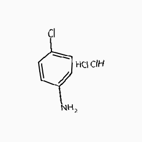 Cl.Cl.Nc1ccc(Cl)cc1